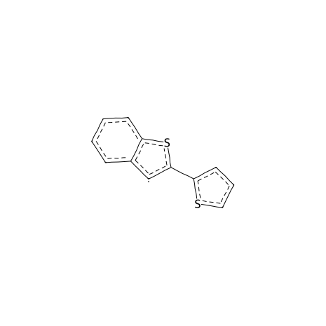 [c]1c(-c2cccs2)sc2ccccc12